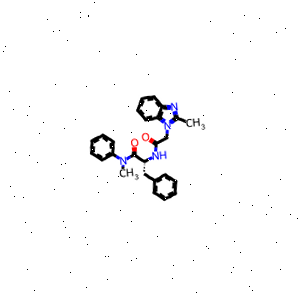 Cc1nc2ccccc2n1CC(=O)N[C@H](Cc1ccccc1)C(=O)N(C)c1ccccc1